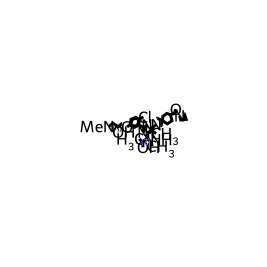 CNC[C@@H](O)COc1ccc(Cl)c(-c2nc(/C(C(C)=N)=C(\C)O)c(C)c(N3CC4(CCC(C(=O)N5CCC5)CC4)C3)n2)c1